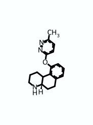 Cc1ccc(Oc2cccc3c2C2CCCN[C@H]2CC3)nn1